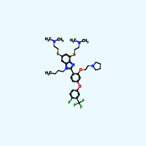 CCCCn1c(-c2ccc(Oc3ccc(F)c(C(F)(F)F)c3)cc2OCCN2CCCC2)nc2c(SCCN(C)C)cc(SCCN(C)C)cc21